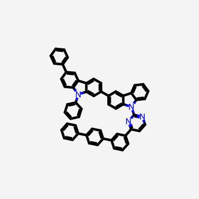 c1ccc(-c2ccc(-c3cccc(-c4ccnc(-n5c6ccccc6c6cc(-c7ccc8c9cc(-c%10ccccc%10)ccc9n(-c9ccccc9)c8c7)ccc65)n4)c3)cc2)cc1